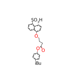 CCC(C)c1ccc(OC(=O)CCCOc2cccc3c(S(=O)(=O)O)cccc23)cc1